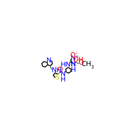 COCCN/C(=C\[NH+]([O-])O)Nc1cccc(NC(=O)c2sccc2NCc2ccnc3ccccc23)c1